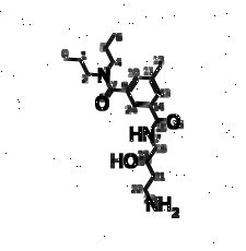 CCCN(CCC)C(=O)c1cc(C)cc(C(=O)NC[C@@H](O)CCN)c1